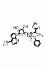 CC(C)OC(=O)[C@@H](C)NP(=O)(OC[C@H]1O[C@@H](n2ccc3c(NO)ncnc32)[C@H](O)[C@@H]1O)Oc1ccccc1